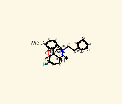 COc1ccc2c3c1O[C@H]1C(F)=CC[C@H]4[C@@H](C2)N(CCc2ccccc2)CC[C@]314